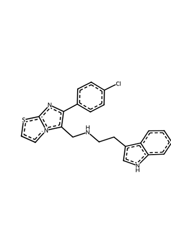 Clc1ccc(-c2nc3sccn3c2CNCCc2c[nH]c3ccccc23)cc1